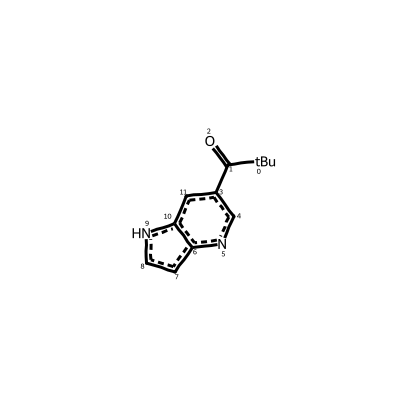 CC(C)(C)C(=O)c1cnc2cc[nH]c2c1